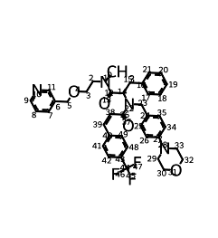 CN(CCOCc1cccnc1)C(=O)C(Cc1ccccc1)N(Cc1ccc(N2CCOCC2)cc1)C(=O)C=Cc1ccc(C(F)(F)F)cc1